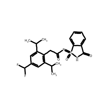 CC(C)c1cc(C(F)F)cc(C(C)C)c1CC(=O)N=S1(=O)NC(=O)c2ccccc21